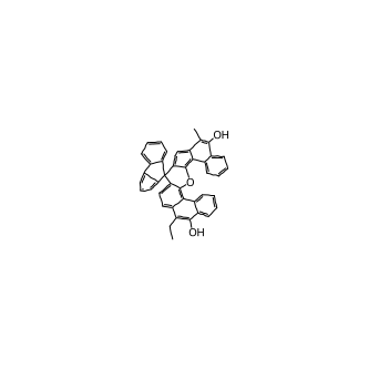 CCc1c(O)c2ccccc2c2c3c(ccc12)C1(c2ccccc2-c2ccccc21)c1ccc2c(C)c(O)c4ccccc4c2c1O3